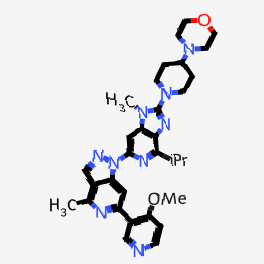 COc1ccncc1-c1cc2c(cnn2-c2cc3c(nc(N4CCC(N5CCOCC5)CC4)n3C)c(C(C)C)n2)c(C)n1